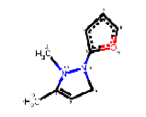 [CH2]C1=CCN(c2ccco2)N1C